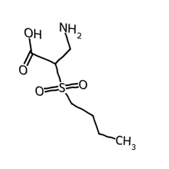 CCCCS(=O)(=O)C(CN)C(=O)O